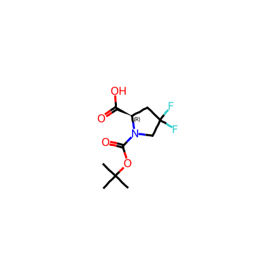 CC(C)(C)OC(=O)N1CC(F)(F)C[C@@H]1C(=O)O